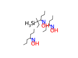 CCCC(=NO)C(C)([SiH3])CC.CCCC(CCC)=NO.CCCC(CCC)=NO